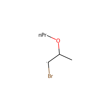 CCCOC(C)[CH]Br